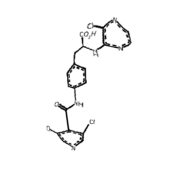 O=C(Nc1ccc(C[C@H](Nc2nccnc2Cl)C(=O)O)cc1)c1c(Cl)cncc1Cl